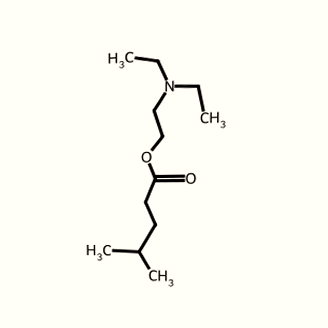 CCN(CC)CCOC(=O)CCC(C)C